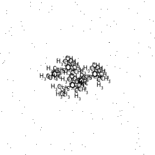 CC[Si](CC)(CC)CSc1cc(C(C)(C)C)c(O)c(C(C)(C)C)c1.CC[Si](CC)(CSc1cc(C(C)(C)C)c(O)c(C(C)(C)C)c1)c1ccc(OC)cc1.CC[Si](CC)(CSc1cc(C(C)(C)C)c(O)c(C(C)(C)C)c1)c1ccccc1